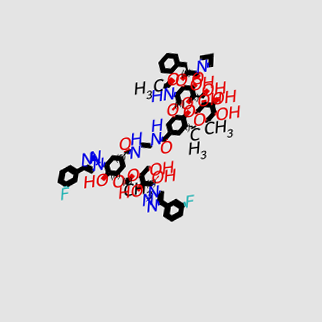 CC[C@@H]1CC(C(=O)NCCNC(=O)[C@H]2CC(n3cc(-c4cccc(F)c4)nn3)C(O)[C@H](O[C@@H](C)OC(CO)C(O)[C@H](O)n3cc(-c4cccc(F)c4)nn3)C2)CC(O[C@@H]2O[C@H](CO)C(O)C(O[C@@H](CC3CCCCC3)C(=O)N3CCC3)C2NC(C)=O)C1OC1OC(C)C(O)C(O)C1O